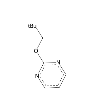 CC(C)(C)COc1ncccn1